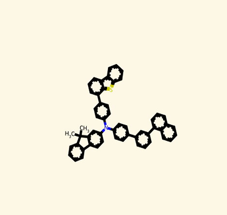 CC1(C)c2ccccc2-c2ccc(N(c3ccc(-c4cccc(-c5cccc6ccccc56)c4)cc3)c3ccc(-c4cccc5c4sc4ccccc45)cc3)cc21